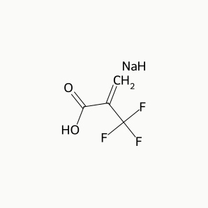 C=C(C(=O)O)C(F)(F)F.[NaH]